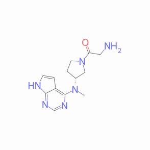 CN(c1ncnc2[nH]ccc12)[C@@H]1CCN(C(=O)CN)C1